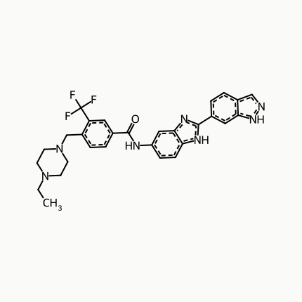 CCN1CCN(Cc2ccc(C(=O)Nc3ccc4[nH]c(-c5ccc6cn[nH]c6c5)nc4c3)cc2C(F)(F)F)CC1